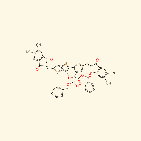 N#Cc1cc2c(cc1C#N)C(=O)C(=Cc1cc3c(s1)-c1sc4cc(C=C5C(=O)c6cc(C#N)c(C#N)cc6C5=O)sc4c1OC3(C(=O)OCc1ccccc1)C(=O)OCc1ccccc1)C2=O